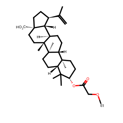 C=C(C)[C@@H]1CC[C@]2(C(=O)O)CC[C@]3(C)[C@H](CC[C@@H]4[C@@]5(C)CC[C@H](OC(=O)COCC)C(C)(C)[C@@H]5CC[C@]43C)[C@@H]12